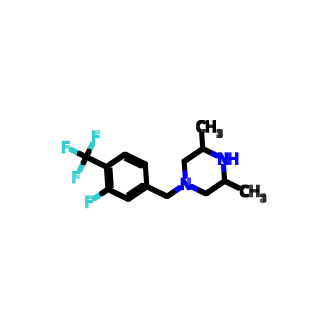 CC1CN(Cc2ccc(C(F)(F)F)c(F)c2)CC(C)N1